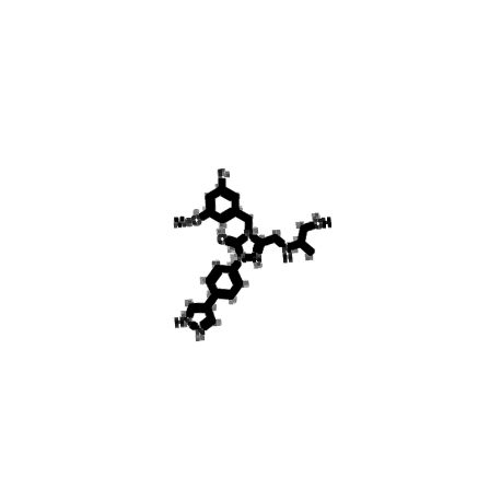 COc1cc(F)cc(Cn2c(CNC(C)CO)nn(-c3ccc(-c4cn[nH]c4)cc3)c2=O)c1